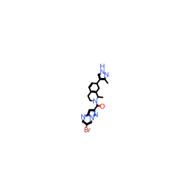 Cc1n[nH]cc1C1C=CC2=C(C1)C(C)N(C(=O)c1cc3ncc(Br)cn3n1)CC2